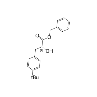 CC(C)(C)c1ccc(C[C@@H](O)C(=O)OCc2ccccc2)cc1